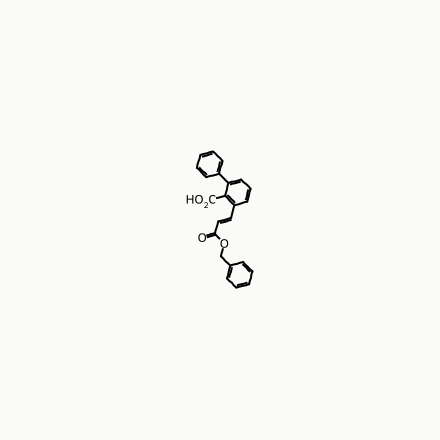 O=C(C=Cc1cccc(-c2ccccc2)c1C(=O)O)OCc1ccccc1